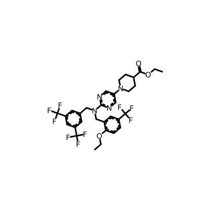 CCOC(=O)C1CCN(c2cnc(N(Cc3cc(C(F)(F)F)cc(C(F)(F)F)c3)Cc3cc(C(F)(F)F)ccc3OCC)nc2)CC1